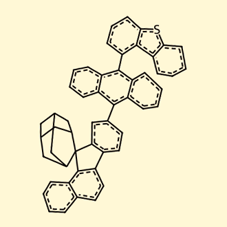 c1ccc2c3c(ccc2c1)-c1ccc(-c2c4ccccc4c(-c4cccc5sc6ccccc6c45)c4ccccc24)cc1C31C2CC3CC(C2)CC1C3